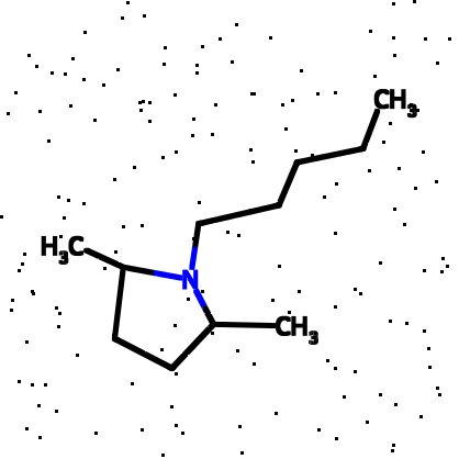 CCCCCN1C(C)CCC1C